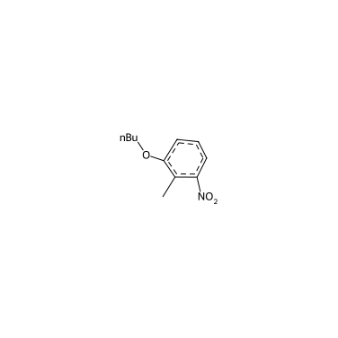 CCCCOc1cccc([N+](=O)[O-])c1C